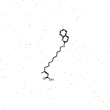 CC(=CC(=O)O)CCCCCCCCCOc1ccc2ccccc2n1